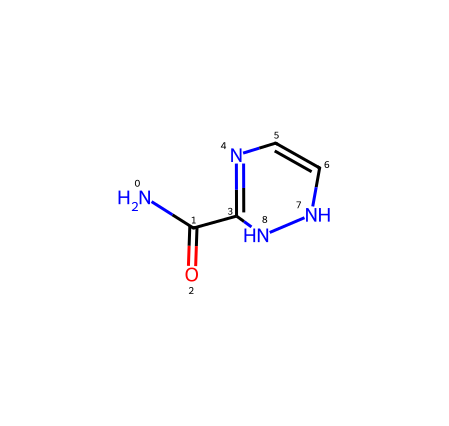 NC(=O)C1=NC=CNN1